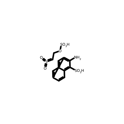 Nc1c2cc3cc-2ccc3c1S(=O)(=O)O.O=S(=O)=CCOS(=O)(=O)O